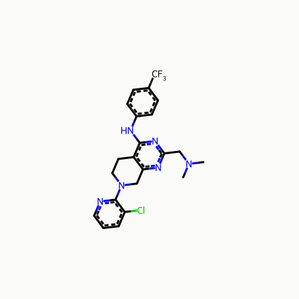 CN(C)Cc1nc2c(c(Nc3ccc(C(F)(F)F)cc3)n1)CCN(c1ncccc1Cl)C2